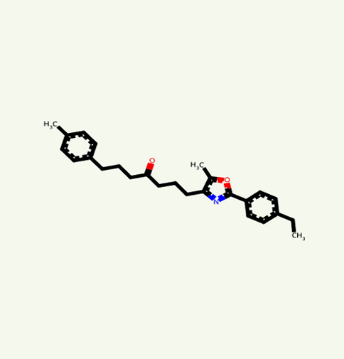 CCc1ccc(-c2nc(CCCC(=O)CCCc3ccc(C)cc3)c(C)o2)cc1